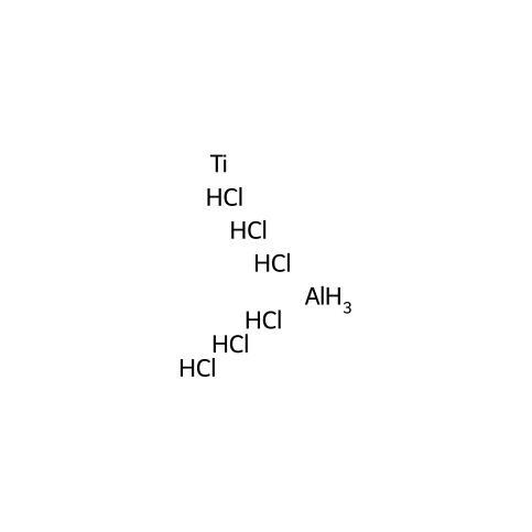 Cl.Cl.Cl.Cl.Cl.Cl.[AlH3].[Ti]